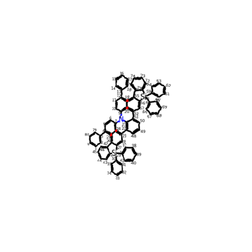 c1ccc(-c2ccc(N(c3ccc(-c4ccccc4)cc3)c3c(-c4ccc5c(c4)[Si](c4ccccc4)(c4ccccc4)c4ccccc4-5)cccc3-c3ccc4c(c3)[Si](c3ccccc3)(c3ccccc3)c3ccccc3-4)cc2)cc1